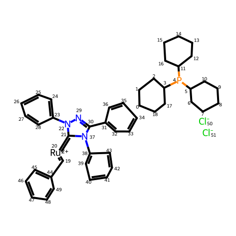 C1CCC(P(C2CCCCC2)C2CCCCC2)CC1.[CH](=[Ru+2]=[c]1n(-c2ccccc2)nc(-c2ccccc2)n1-c1ccccc1)c1ccccc1.[Cl-].[Cl-]